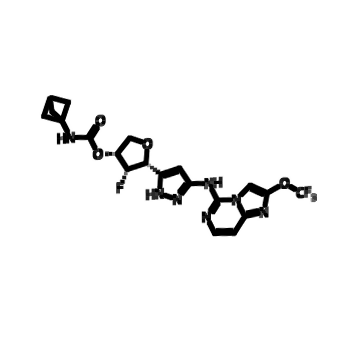 O=C(NC12CC(C1)C2)O[C@@H]1CO[C@H](c2cc(Nc3nccc4nc(OC(F)(F)F)cn34)n[nH]2)[C@@H]1F